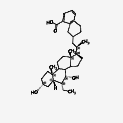 CC[C@H]1[C@@H](O)C2C3CC[C@H]([C@H](C)CC4CCc5cccc(C(=O)O)c5C4)[C@@]3(C)CCC2[C@@]2(C)CC[C@@H](O)C[C@@H]12